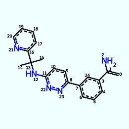 C=C(N)c1cccc(-c2ccc(NC(C)(C)c3ccccn3)nn2)c1